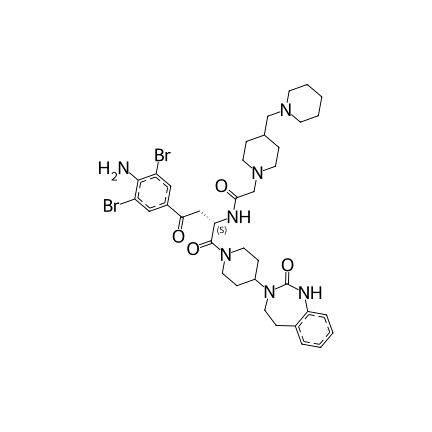 Nc1c(Br)cc(C(=O)C[C@H](NC(=O)CN2CCC(CN3CCCCC3)CC2)C(=O)N2CCC(N3CCc4ccccc4NC3=O)CC2)cc1Br